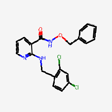 O=C(NOCc1ccccc1)c1cccnc1NCc1ccc(Cl)cc1Cl